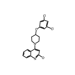 [O]c1cc(N2CCC(Oc3cc(Cl)cc(Cl)c3)CC2)c2ccccc2n1